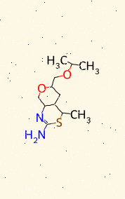 CC(C)OCC1CC2C(CO1)N=C(N)SC2C